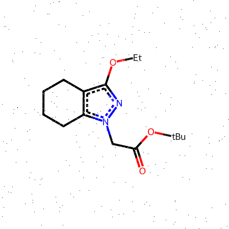 CCOc1nn(CC(=O)OC(C)(C)C)c2c1CCCC2